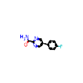 NC(=O)c1ncc(-c2ccc(F)cc2)cn1